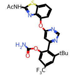 CC(=O)Nc1nc2c(Oc3cc(-c4c(OC(N)=O)cc(C(F)(F)F)cc4C(C)(C)C)ncn3)cccc2s1